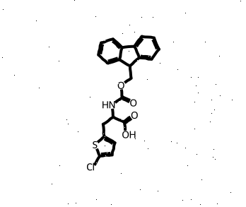 O=C(NC(Cc1ccc(Cl)s1)C(=O)O)OCC1c2ccccc2-c2ccccc21